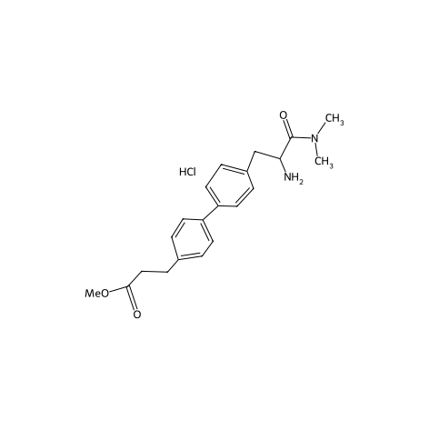 COC(=O)CCc1ccc(-c2ccc(CC(N)C(=O)N(C)C)cc2)cc1.Cl